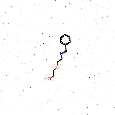 OCCOCCN=Cc1ccccc1